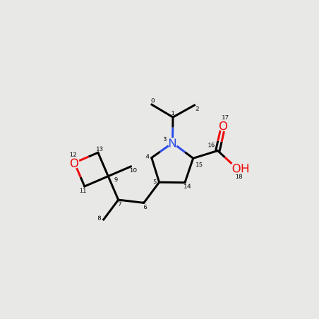 CC(C)N1CC(CC(C)C2(C)COC2)CC1C(=O)O